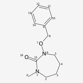 CN1CCCCN(OCc2ccccc2)C1=O